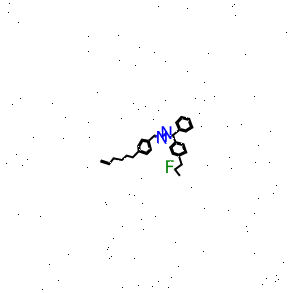 C=CCCCCc1ccc(C=NN=C(c2ccccc2)c2ccc(CC(C)F)cc2)cc1